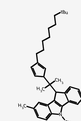 Cc1ccc2c(c1)c1c(n2C)-c2ccccc2C1C(C)(C)C1C=CC(CCCCCCCC(C)(C)C)=C1